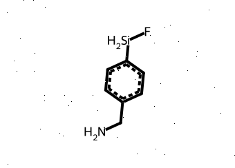 NCc1ccc([SiH2]F)cc1